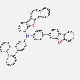 c1ccc(-c2ccccc2-c2ccc(N(c3ccc(-c4ccc5c(c4)oc4ccccc45)cc3)c3cccc4c3oc3c5ccccc5ccc43)cc2)cc1